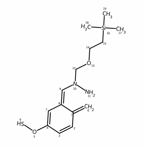 C=c1ccc(OS)c/c1=C/N(N)COCC[Si](C)(C)C